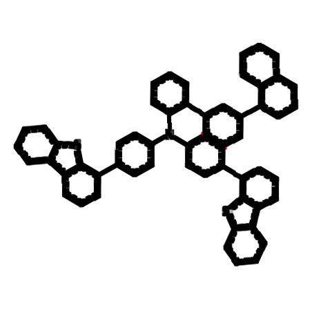 c1cc(-c2ccccc2N(c2ccc(-c3cccc4c3sc3ccccc34)cc2)c2ccc(-c3cccc4c3sc3ccccc34)cc2)cc(-c2cccc3ccccc23)c1